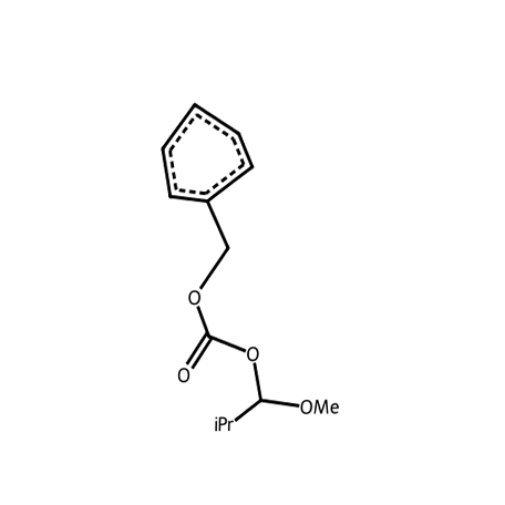 COC(OC(=O)OCc1ccccc1)C(C)C